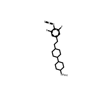 CCCCCC1CCC(C2CCC(CCc3cc(F)c(N=C=S)c(F)c3)CC2)CC1